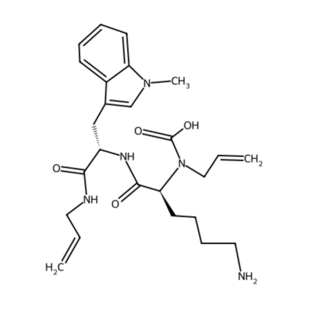 C=CCNC(=O)[C@H](Cc1cn(C)c2ccccc12)NC(=O)[C@H](CCCCN)N(CC=C)C(=O)O